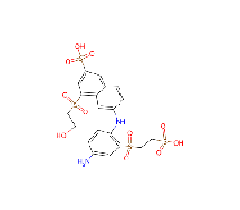 Nc1ccc(Nc2ccc3cc(S(=O)(=O)O)cc(S(=O)(=O)CCO)c3c2)c(S(=O)(=O)CCS(=O)(=O)O)c1